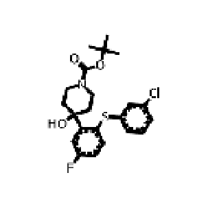 CC(C)(C)OC(=O)N1CCC(O)(c2cc(F)ccc2Sc2cccc(Cl)c2)CC1